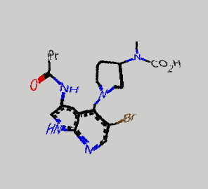 CC(C)C(=O)Nc1c[nH]c2ncc(Br)c(N3CCC(N(C)C(=O)O)C3)c12